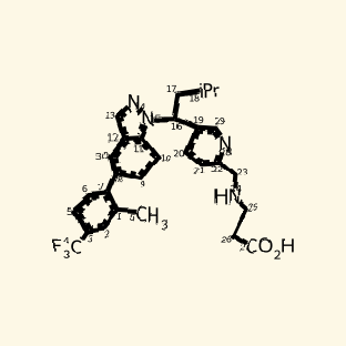 Cc1cc(C(F)(F)F)ccc1-c1ccc2c(cnn2C(CC(C)C)c2ccc(CNCCC(=O)O)nc2)c1